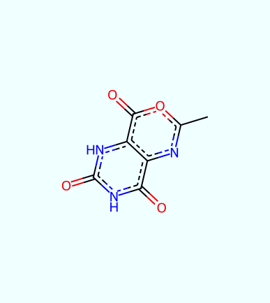 Cc1nc2c(=O)[nH]c(=O)[nH]c2c(=O)o1